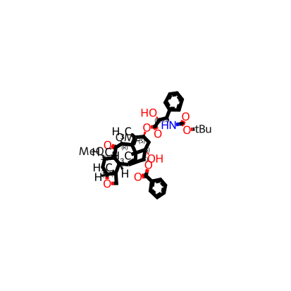 CO[C@H]1C(=O)[C@]2(C)[C@@H](OC)C[C@H]3OC[C@@]3(C)[C@H]2C2=CC3(C)C1=C(C)[C@@H](OC(=O)[C@H](O)[C@@H](NC(=O)OC(C)(C)C)c1ccccc1)C[C@@]3(O)[C@H]2OC(=O)c1ccccc1